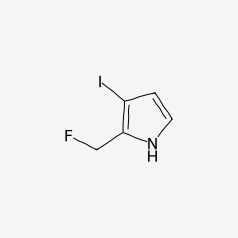 FCc1[nH]ccc1I